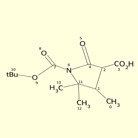 CC1C(C(=O)O)C(=O)N(C(=O)OC(C)(C)C)C1(C)C